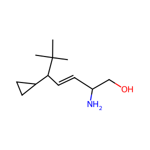 CC(C)(C)C(C=CC(N)CO)C1CC1